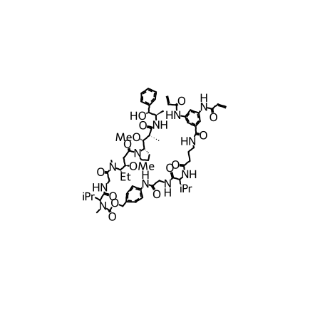 C=CC(=O)Nc1cc(NC(=O)C=C)cc(C(=O)NCCCC(=O)NC(C(=O)NCC(=O)Nc2ccc(COC(=O)N(C)C(C(=O)NCC(=O)N(C)[C@@H](CC)[C@@H](CC(=O)N3CCC[C@H]3[C@H](OC)[C@@H](C)C(=O)N[C@H](C)[C@@H](O)c3ccccc3)OC)C(C)C)cc2)C(C)C)c1